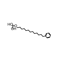 OP(O)OCCCCCCCCCCCCCc1ccccc1